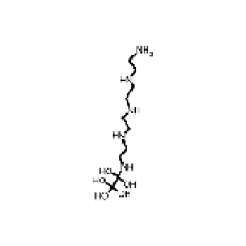 NCCNCCNCCNCCNC(O)(O)C(O)(O)O